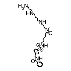 CN(CCCNCCCCNCCCN)C(=O)CCCCCNS(=O)(=O)c1ccc(CNC(=O)c2ccccc2)s1